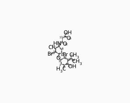 Cc1cc(Oc2c(Br)cc(NC(=O)CC(=O)O)c(Cl)c2Br)cc(C(C)C)c1O